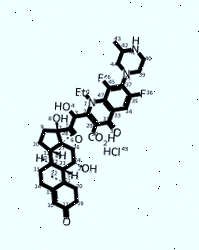 CCn1c(C(O)C(=O)[C@@]2(O)CC[C@H]3[C@@H]4CCC5=CC(=O)CC[C@]5(C)[C@H]4[C@@H](O)C[C@@]32C)c(C(=O)O)c(=O)c2cc(F)c(N3CCNC(C)C3)c(F)c21.Cl